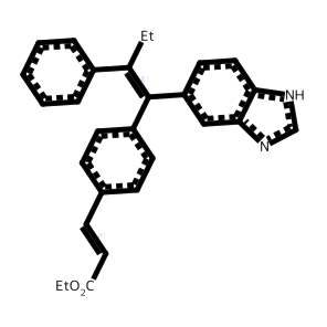 CCOC(=O)/C=C/c1ccc(/C(=C(/CC)c2ccccc2)c2ccc3[nH]cnc3c2)cc1